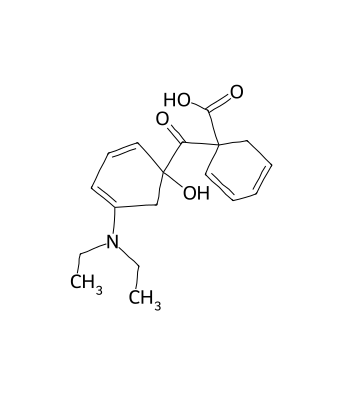 CCN(CC)C1=CC=CC(O)(C(=O)C2(C(=O)O)C=CC=CC2)C1